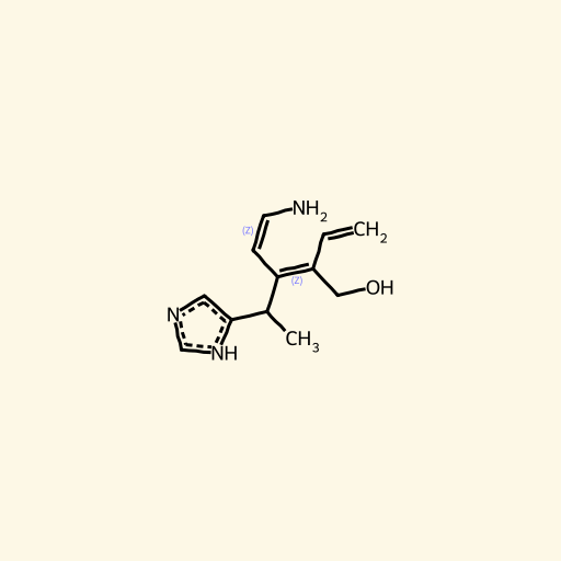 C=C/C(CO)=C(\C=C/N)C(C)c1cnc[nH]1